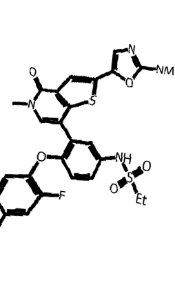 CCS(=O)(=O)Nc1ccc(Oc2ccc(F)cc2F)c(-c2cn(C)c(=O)c3cc(-c4cnc(NC)o4)sc23)c1